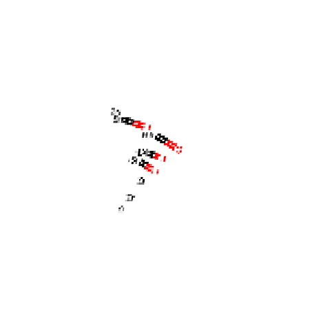 [O]=[AlH].[O]=[AlH].[O]=[Sn].[O]=[Sn].[Zn].[Zn].[Zn].[Zn]